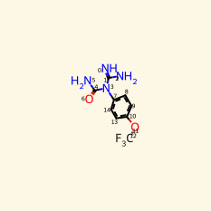 N=C(N)N(C(N)=O)c1ccc(OC(F)(F)F)cc1